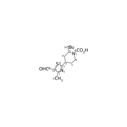 Cc1nc(C2CCN(C(=O)O)C(C(C)(C)C)C2)sc1C=O